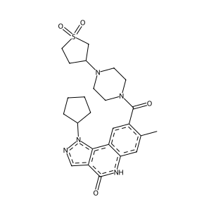 Cc1cc2[nH]c(=O)c3cnn(C4CCCC4)c3c2cc1C(=O)N1CCN(C2CCS(=O)(=O)C2)CC1